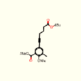 COC(=O)c1cc(C#CCCCC(=O)OC(C)(C)C)cc(C)c1OC